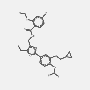 C[CH]c1oc(-c2ccc(OC(F)F)c(OCC3CC3)c2)nc1CNC(=O)c1ccc(F)cc1OCC